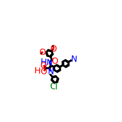 COc1cc(OC)cc(C(=O)Nc2c(C(=O)O)n(Cc3cccc(Cl)c3)c3ccc(-c4ccc(C#N)cc4)cc23)c1